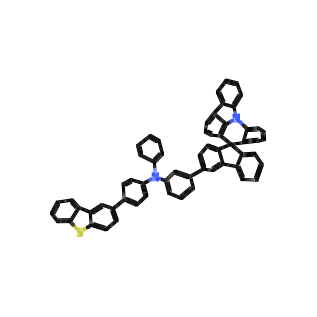 c1ccc(N(c2ccc(-c3ccc4sc5ccccc5c4c3)cc2)c2cccc(-c3ccc4c(c3)-c3ccccc3C43c4ccccc4-n4c5ccccc5c5cccc3c54)c2)cc1